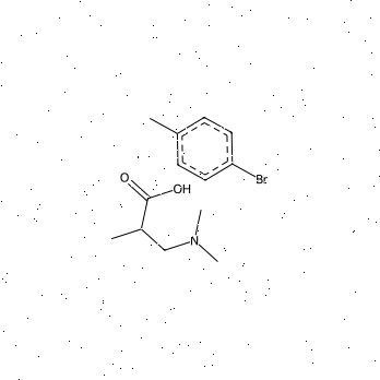 CC(CN(C)C)C(=O)O.Cc1ccc(Br)cc1